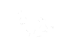 CN(Cc1ccc(C(F)(F)F)cn1)C(=O)c1ccc2nc(N)c3cnn(C)c3c2c1